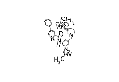 CCS(=O)(=O)N[C@H]1CCCN(Cc2cc(NC(=O)c3cc(-c4ccccc4)ccn3)cc(-n3cnc(C)c3)c2)C1